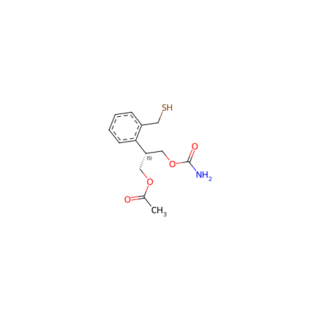 CC(=O)OC[C@@H](COC(N)=O)c1ccccc1CS